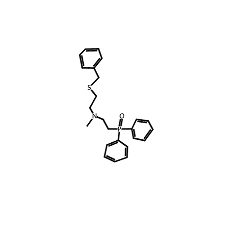 CN(CCSCc1ccccc1)CCP(=O)(c1ccccc1)c1ccccc1